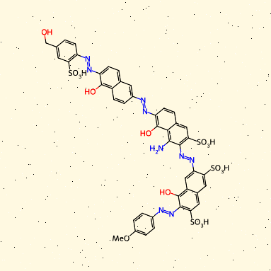 COc1ccc(N=Nc2c(S(=O)(=O)O)cc3cc(S(=O)(=O)O)c(N=Nc4c(S(=O)(=O)O)cc5ccc(N=Nc6ccc7c(O)c(N=Nc8ccc(CO)cc8S(=O)(=O)O)ccc7c6)c(O)c5c4N)cc3c2O)cc1